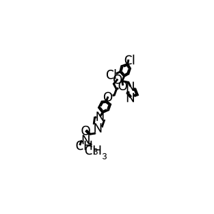 CCN(CC)C(=O)CN1CCN(c2ccc(OCC3COC(Cn4ccnc4)(c4ccc(Cl)cc4Cl)O3)cc2)CC1